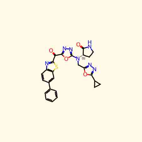 O=C(c1nnc(N(Cc2nnc(C3CC3)o2)[C@H]2CCNC2=O)o1)c1nc2ccc(-c3ccccc3)cc2s1